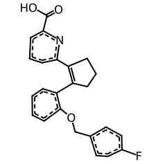 O=C(O)c1cccc(C2=C(c3ccccc3OCc3ccc(F)cc3)CCC2)n1